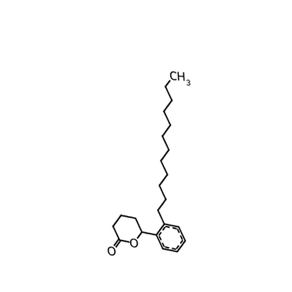 CCCCCCCCCCCCc1ccccc1C1CCCC(=O)O1